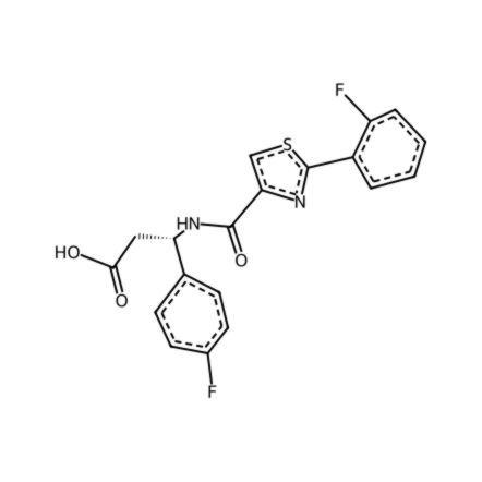 O=C(O)C[C@H](NC(=O)c1csc(-c2ccccc2F)n1)c1ccc(F)cc1